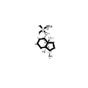 CC(=O)[C@H]1CC[C@H]2[C@@H](O[Si](C)(C)C(C)(C)C)CCC[C@]12C